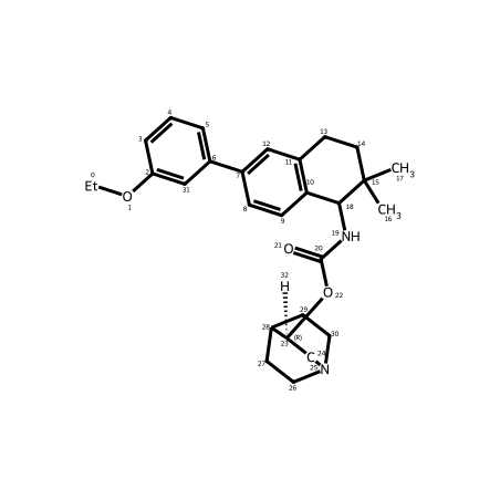 CCOc1cccc(-c2ccc3c(c2)CCC(C)(C)C3NC(=O)O[C@H]2CN3CCC2CC3)c1